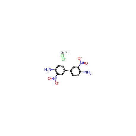 Nc1ccc(-c2ccc(N)c([N+](=O)[O-])c2)cc1[N+](=O)[O-].[Cl-].[Cl-].[Sn+2]